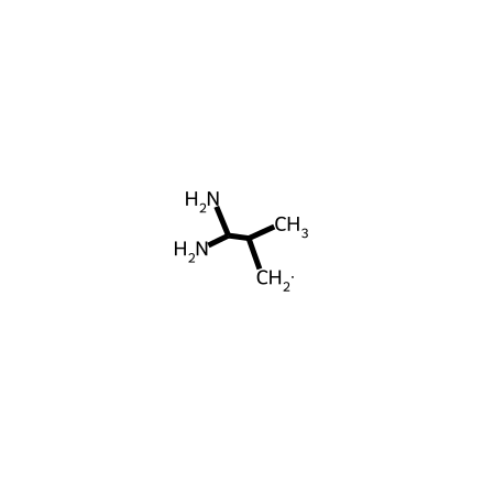 [CH2]C(C)C(N)N